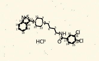 Cl.O=C(NCCCCN1CCN(c2snc3ccccc23)CC1)c1ccc(Cl)c(Cl)c1